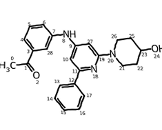 CC(=O)c1cccc(Nc2cc(-c3ccccc3)nc(N3CCC(O)CC3)c2)c1